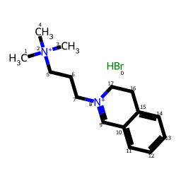 Br.C[N+](C)(C)CCC[N+]1=Cc2ccccc2CC1